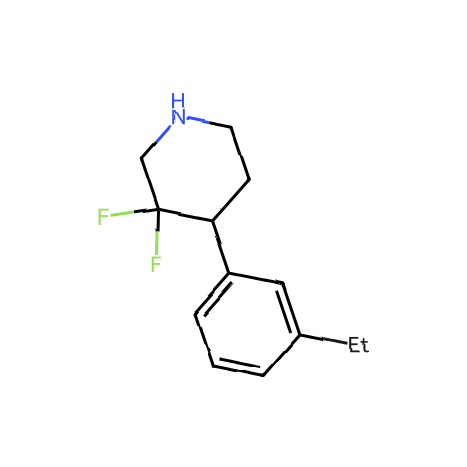 CCc1cccc(C2CCNCC2(F)F)c1